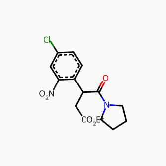 CCOC(=O)CC(C(=O)N1CCCC1)c1ccc(Cl)cc1[N+](=O)[O-]